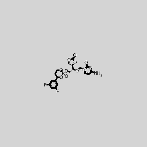 Nc1ccn(CO[C@H](COP2(=O)OCCC(c3cc(F)cc(F)c3)O2)[C@@H]2COC(=O)O2)c(=O)n1